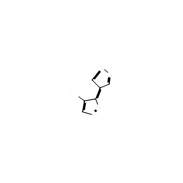 N#CC1=CN=NC1=C1C=NN=C1